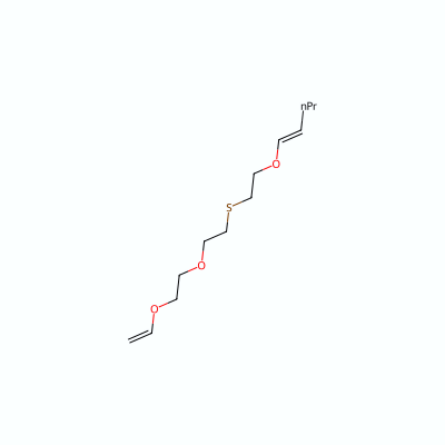 C=COCCOCCSCCOC=CCCC